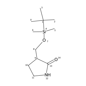 CC(C)(C)[Si](C)(C)OCC1CCNC1=O